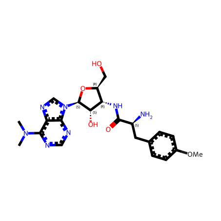 COc1ccc(C[C@H](N)C(=O)N[C@@H]2[C@H](O)[C@@H](n3cnc4c(N(C)C)ncnc43)O[C@H]2CO)cc1